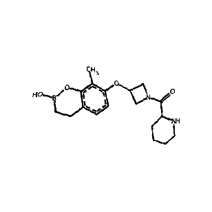 Cc1c(OC2CN(C(=O)C3CCCCN3)C2)ccc2c1OB(O)CC2